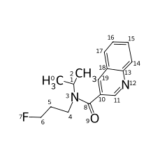 CC(C)N(CCCF)C(=O)c1cnc2ccccc2c1